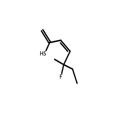 C=C(S)/C=C\C(C)(F)CC